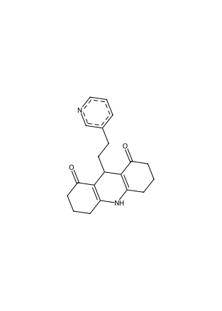 O=C1CCCC2=C1C(CCc1cccnc1)C1=C(CCCC1=O)N2